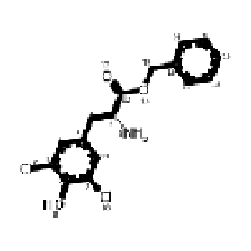 N[C@H](Cc1cc(Cl)c(O)c(Cl)c1)C(=O)OCc1ccccc1